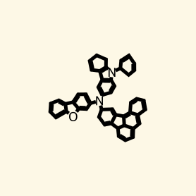 C1=CCC(n2c3c(c4cc(N(c5ccc6c(c5)oc5ccccc56)C5C=C6C(=CC5)C5C=CC=C7C=c8ccccc8=C6C75)ccc42)C=CCC3)C=C1